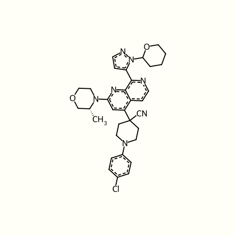 C[C@@H]1COCCN1c1cc(C2(C#N)CCN(c3ccc(Cl)cc3)CC2)c2ccnc(-c3ccnn3C3CCCCO3)c2n1